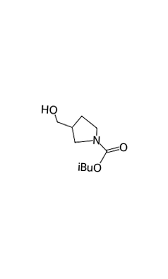 CC(C)COC(=O)N1CCC(CO)C1